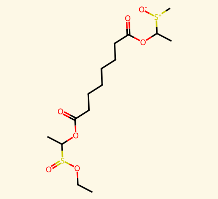 CCOS(=O)C(C)OC(=O)CCCCCCC(=O)OC(C)[S+](C)[O-]